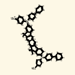 CC(C)(C)c1ccc(N(c2ccc(-c3ccccc3)cc2)c2ccc3c(c2)C(C)(C)c2cc4cc5c(cc4cc2-3)-c2ccc(N(c3ccc(-c4ccccc4)cc3)c3ccc(C(C)(C)C)cc3)cc2C5(C)C)cc1